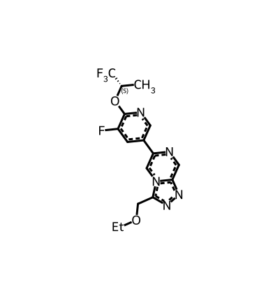 CCOCc1nnc2cnc(-c3cnc(O[C@@H](C)C(F)(F)F)c(F)c3)cn12